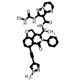 CCNC(=O)Nc1nn2cccnc2c1C(=O)N[C@@H](C)c1c2c3c(ccc(C#Cc4cnn(C)c4)c3c(=O)n1-c1ccccc1)OC2